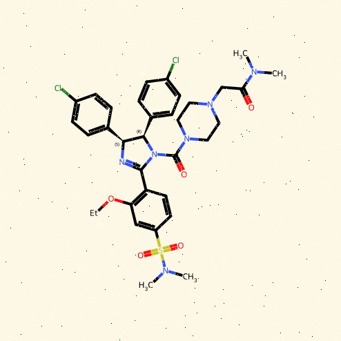 CCOc1cc(S(=O)(=O)N(C)C)ccc1C1=N[C@@H](c2ccc(Cl)cc2)[C@@H](c2ccc(Cl)cc2)N1C(=O)N1CCN(CC(=O)N(C)C)CC1